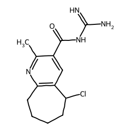 Cc1nc2c(cc1C(=O)NC(=N)N)C(Cl)CCCC2